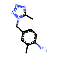 Cc1cc(Cn2nnnc2C)ccc1N